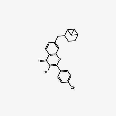 O=c1c(O)c(-c2ccc(O)cc2)oc2cc(CC3CCC4C5C3C45)ccc12